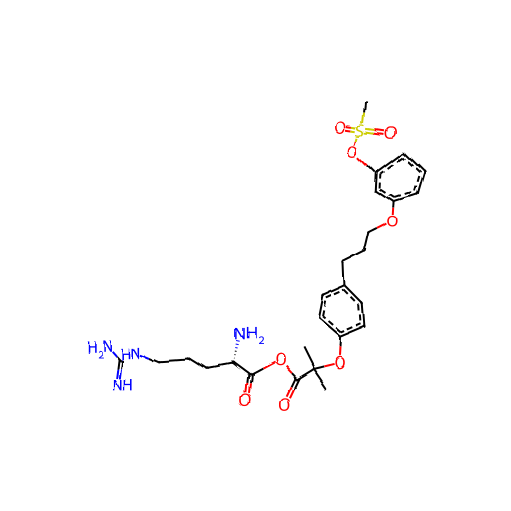 CC(C)(Oc1ccc(CCCOc2cccc(OS(C)(=O)=O)c2)cc1)C(=O)OC(=O)[C@@H](N)CCCNC(=N)N